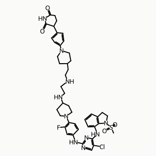 CS(=O)(=O)N1CCc2cccc(Nc3nc(Nc4ccc(N5CCC(NCCNCCC6CCN(c7ccc(C8CCC(=O)NC8=O)cc7)CC6)CC5)c(F)c4)ncc3Cl)c21